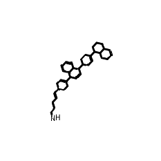 N=CCC/C=C/C1CC=C(C2C=CC(C3CC=C(C4CCCC5CCCCC54)CC3)C3C=CCCC23)CC1